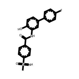 CS(=N)(=O)c1ccc(C(=O)Nc2cc(-c3ccc(F)cc3)ccc2O)cc1